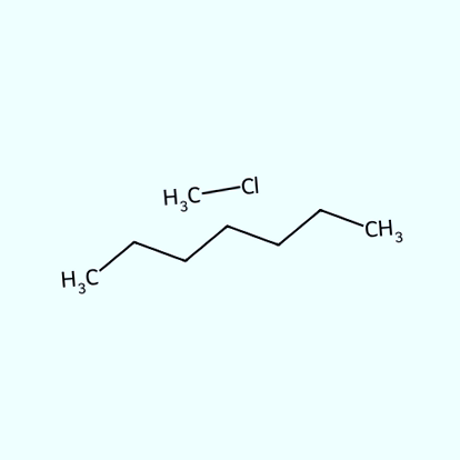 CCCCCCC.CCl